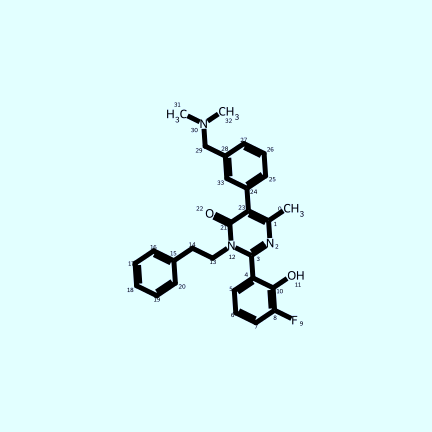 Cc1nc(-c2cccc(F)c2O)n(CCc2ccccc2)c(=O)c1-c1cccc(CN(C)C)c1